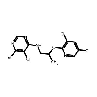 CCc1ncnc(NCC(C)Oc2ncc(Cl)cc2Cl)c1Cl